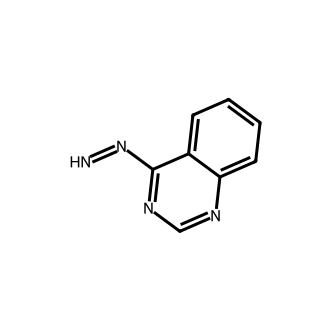 N=Nc1ncnc2ccccc12